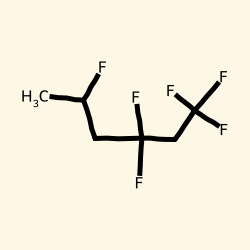 CC(F)CC(F)(F)CC(F)(F)F